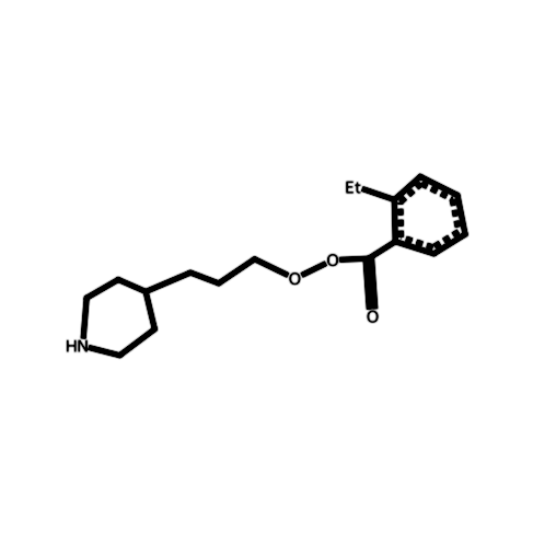 CCc1ccccc1C(=O)OOCCCC1CCNCC1